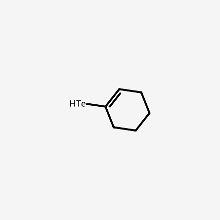 [TeH]C1=CCCCC1